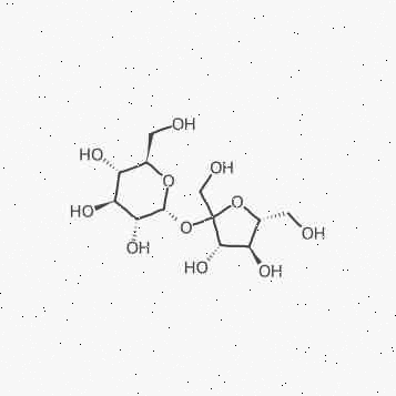 OC[C@H]1OC(CO)(O[C@H]2O[C@H](CO)[C@@H](O)[C@H](O)[C@H]2O)[C@@H](O)[C@@H]1O